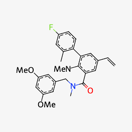 C=Cc1cc(C(=O)N(C)Cc2cc(OC)cc(OC)c2)c(NC)c(-c2ccc(F)cc2C)c1